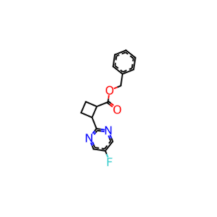 O=C(OCc1ccccc1)C1CCC1c1ncc(F)cn1